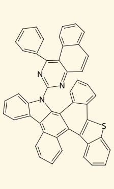 c1ccc(-c2nc(-n3c4ccccc4c4c5ccccc5c5c6c7ccccc7sc6c6ccccc6c5c43)nc3ccc4ccccc4c23)cc1